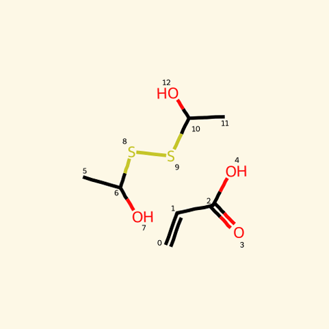 C=CC(=O)O.CC(O)SSC(C)O